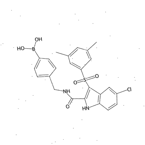 Cc1cc(C)cc(S(=O)(=O)c2c(C(=O)NCc3ccc(B(O)O)cc3)[nH]c3ccc(Cl)cc23)c1